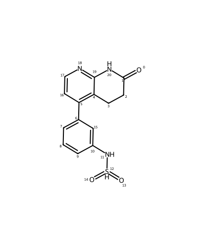 O=C1CCc2c(-c3cccc(N[SH](=O)=O)c3)ccnc2N1